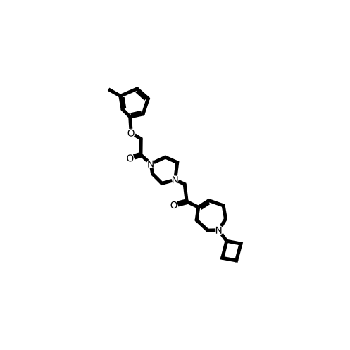 Cc1cccc(OCC(=O)N2CCN(CC(=O)C3=CCCN(C4CCC4)CC3)CC2)c1